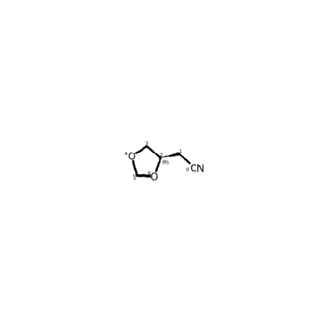 N#CC[C@@H]1CO[CH]O1